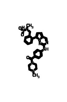 CN1CCN(C(=O)c2ccc(Nc3ncc4ccc(-c5ccccc5CN(C)[SH](=O)=O)n4n3)cc2)CC1